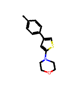 Cc1ccc(-c2csc(N3CCOCC3)c2)cc1